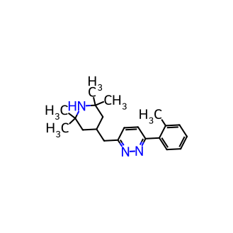 Cc1ccccc1-c1ccc(CC2CC(C)(C)NC(C)(C)C2)nn1